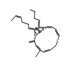 C=C1/C=C(C)\C=C/CC\C=C/C=c2\c(=C)n1c(=C\CC/C=C\C)\c2=C/CCC